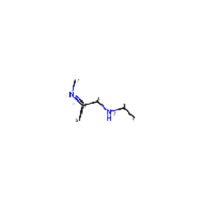 CCNC/C(C)=N\C